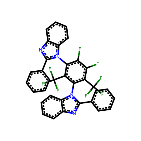 Fc1c(F)c(C(F)(F)F)c(-n2c(-c3ccccc3)nc3ccccc32)c(C(F)(F)F)c1-n1c(-c2ccccc2)nc2ccccc21